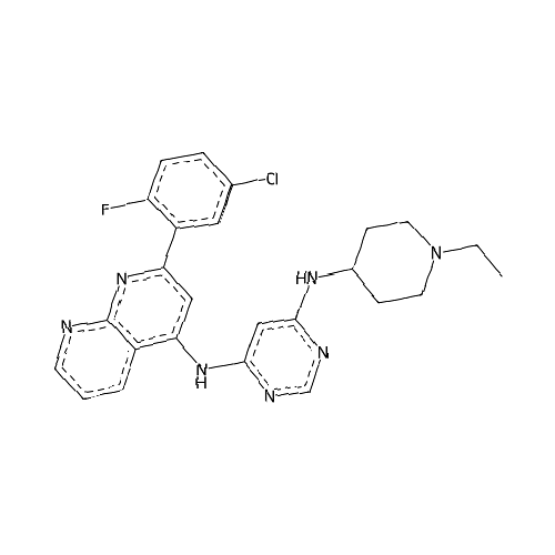 CCN1CCC(Nc2cc(Nc3cc(-c4cc(Cl)ccc4F)nc4ncccc34)ncn2)CC1